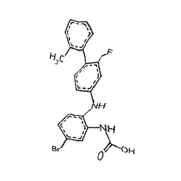 Cc1ccccc1-c1ccc(Nc2ccc(Br)cc2NC(=O)O)cc1F